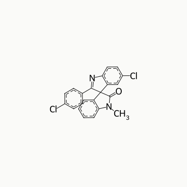 CN1C(=O)C2(C(c3ccc(Cl)cc3)=Nc3ccc(Cl)cc32)c2ccccc21